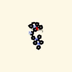 CC1(C)c2ccccc2-c2ccc3c(c21)N(c1cccc(-c2cncc(-c4cccc(-n5c6c(c7ccccc75)-c5ccccc5N(c5ccccc5)c5ccccc5-6)c4)c2)c1)c1ccccc1C=C3